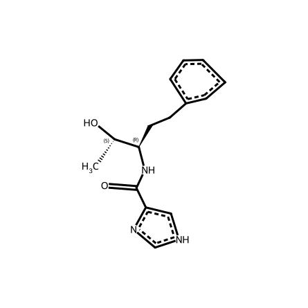 C[C@H](O)[C@@H](CCc1ccccc1)NC(=O)c1c[nH]cn1